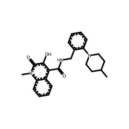 CC1CCN(c2ccccc2CNC(=O)c2c(O)c(=O)n(C)c3ccccc23)CC1